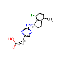 Cc1ccc(F)c2c1CC[C@H]2Nc1cnc([C@H]2C[C@@H]2C(=O)O)cn1